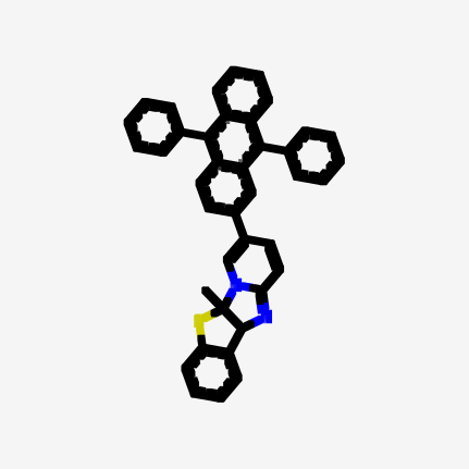 CC12Sc3ccccc3C1N=C1C=CC(c3ccc4c(-c5ccccc5)c5ccccc5c(-c5ccccc5)c4c3)=CN12